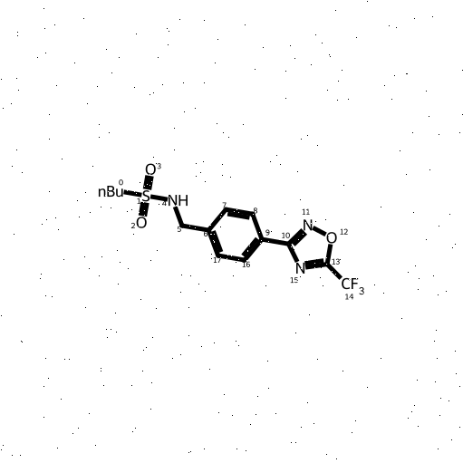 CCCCS(=O)(=O)NCc1ccc(-c2noc(C(F)(F)F)n2)cc1